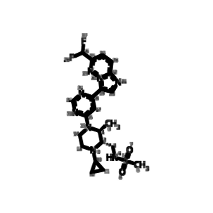 C[C@H]1[C@H](CNS(C)(=O)=O)N(C2CC2)CCN1c1cc(-c2cnc3ccc(C(F)F)nn23)ncn1